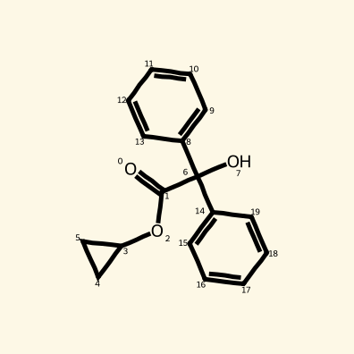 O=C(OC1CC1)C(O)(c1ccccc1)c1ccccc1